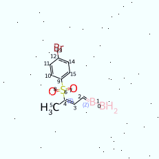 B/B=C\C=C(\C)S(=O)(=O)c1ccc(Br)cc1